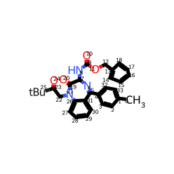 Cc1ccc(C2=NC(NC(=O)OCc3ccccc3)C(=O)N(CC(=O)C(C)(C)C)c3ccccc32)cc1